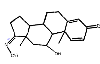 CC12C=CC(=O)C=C1CCC1C2C(O)CC2(C)/C(=N\O)CCC12